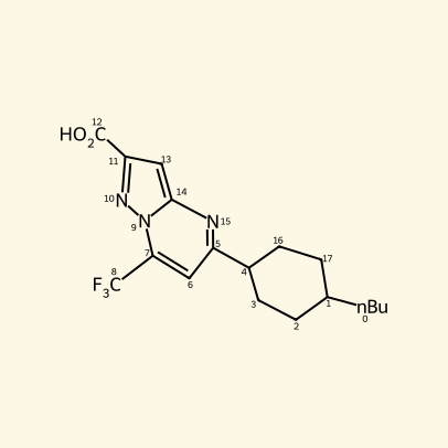 CCCCC1CCC(c2cc(C(F)(F)F)n3nc(C(=O)O)cc3n2)CC1